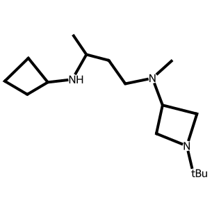 CC(CCN(C)C1CN(C(C)(C)C)C1)NC1CCC1